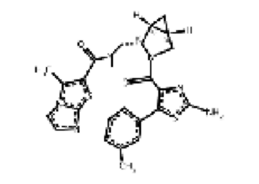 Cc1cccc(-c2sc(N)nc2C(=O)N2C[C@H]3C[C@H]3[C@H]2CNC(=O)c2sc3nccn3c2C)c1